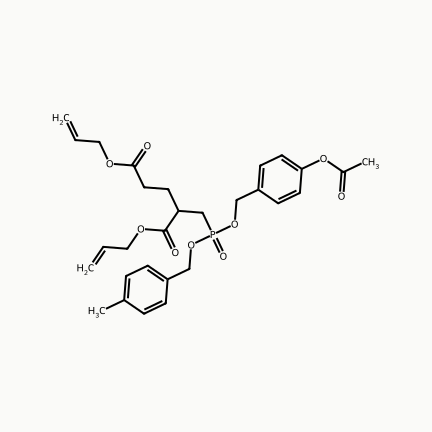 C=CCOC(=O)CCC(CP(=O)(OCc1ccc(C)cc1)OCc1ccc(OC(C)=O)cc1)C(=O)OCC=C